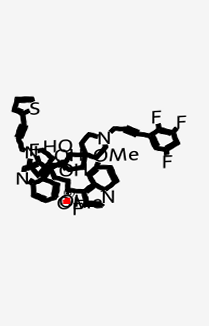 COc1ccc2ncc(F)c([C@@H](O)CCC3(C(O)C(O)C4(CC[C@H](O)c5c(F)cnc6ccc(OC)cc56)CCN(CC#Cc5cc(F)cc(F)c5F)CC4)CCN(CC#Cc4cccs4)CC3)c2c1